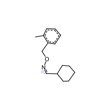 Cc1ccccc1CO/N=[C]\C1CCCCC1